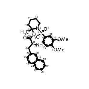 COc1ccc(S(=O)(=O)N2CCCCC2(C)OC(=O)[C@@H](N)Cc2ccc3ccccc3c2)cc1OC